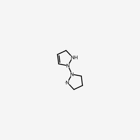 C1=CN(N2CCC[N]2)NC1